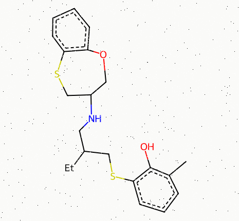 CCC(CNC1COc2ccccc2SC1)CSc1cccc(C)c1O